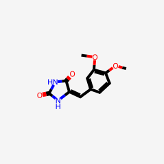 COc1ccc(C=C2NC(=O)NC2=O)cc1OC